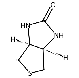 O=C1N[C@H]2CS[CH][C@H]2N1